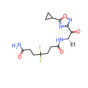 CC[C@H](NC(=O)[CH]CC(F)(F)CCC(N)=O)C(=O)c1noc(C2CC2)n1